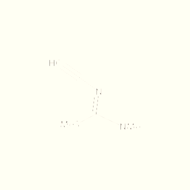 C#C/N=C(/NC)SC